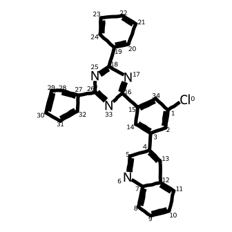 Clc1cc(-c2cnc3ccccc3c2)cc(-c2nc(-c3ccccc3)nc(-c3ccccc3)n2)c1